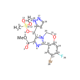 COC(=O)c1nc2n(c1C(OS(C)(=O)=O)c1ccnn1C)CCOc1cc(F)c(Br)cc1-2